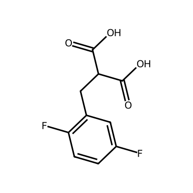 O=C(O)C(Cc1cc(F)ccc1F)C(=O)O